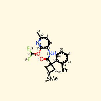 CSC1CC(C(=O)Nc2ccc(C)nc2OC(F)F)(c2ccccc2C(C)C)C1